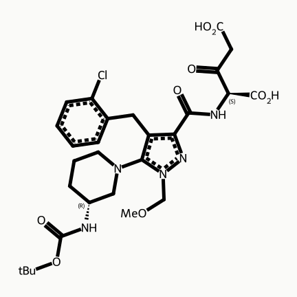 COCn1nc(C(=O)N[C@H](C(=O)O)C(=O)CC(=O)O)c(Cc2ccccc2Cl)c1N1CCC[C@@H](NC(=O)OC(C)(C)C)C1